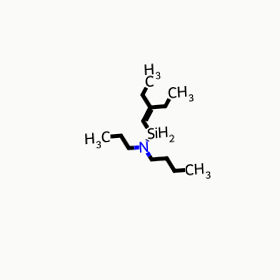 CCCCN(CCC)[SiH2]C=C(CC)CC